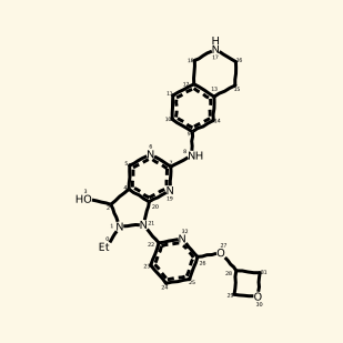 CCN1C(O)c2cnc(Nc3ccc4c(c3)CCNC4)nc2N1c1cccc(OC2COC2)n1